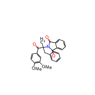 COc1ccc(C(=O)C(C)(Cc2ccccc2)N2C(=O)c3ccccc3C2=O)cc1OC